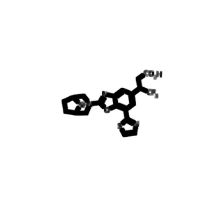 O=C(O)CC(c1cc(-c2nccs2)c2oc(N3CC4CCC(C3)N4)nc2c1)C(F)(F)F